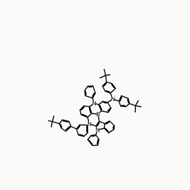 CC(C)(C)c1ccc(-c2cccc(N3c4cccc5c4B(c4ccc(N(c6ccc(C(C)(C)C)cc6)c6ccc(C(C)(C)C)cc6)cc4N5c4ccccc4)c4c3n(-c3ccccc3)c3ccccc43)c2)cc1